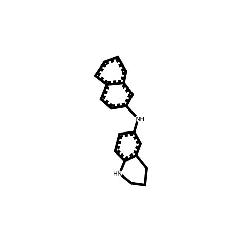 c1ccc2cc(Nc3ccc4c(c3)CCCN4)ccc2c1